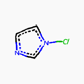 Cln1[c]cnc1